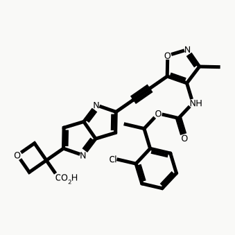 Cc1noc(C#CC2=CC3=NC(C4(C(=O)O)COC4)=CC3=N2)c1NC(=O)OC(C)c1ccccc1Cl